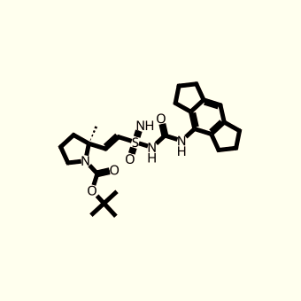 CC(C)(C)OC(=O)N1CCC[C@@]1(C)/C=C/S(=N)(=O)NC(=O)Nc1c2c(cc3c1CCC3)CCC2